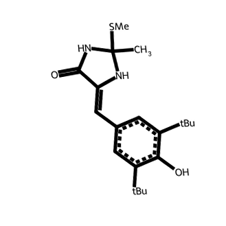 CSC1(C)NC(=O)C(=Cc2cc(C(C)(C)C)c(O)c(C(C)(C)C)c2)N1